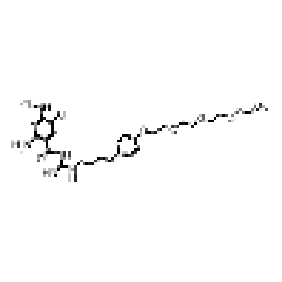 COCCOCCOCCOCCOc1ccc(CCCCNC(=N)NC(=O)c2nc(Cl)c(NCl)nc2N)cc1